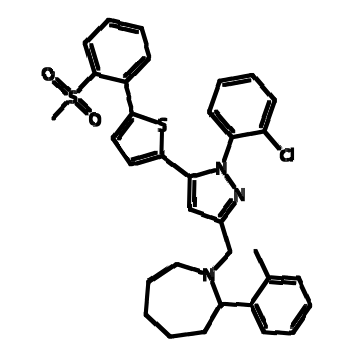 Cc1ccccc1C1CCCCCN1Cc1cc(-c2ccc(-c3ccccc3S(C)(=O)=O)s2)n(-c2ccccc2Cl)n1